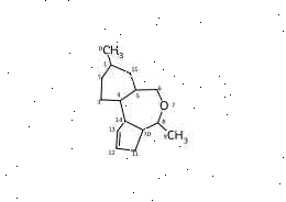 CC1CCC2C(COC(C)C3CC=CC23)C1